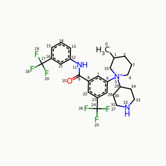 CC1CCC[N+](c2cc(C(=O)Nc3cccc(C(F)(F)F)c3)cc(C(F)(F)F)c2)(C2CCNCC2)C1